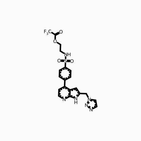 O=C(OCCNS(=O)(=O)c1ccc(-c2ccnc3[nH]c(Cn4ccnn4)cc23)cc1)C(F)(F)F